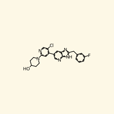 OC1CCN(c2cc(-c3cnc4[nH]c(Cc5cccc(F)c5)nc4c3)c(Cl)cn2)CC1